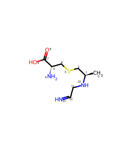 C[C@H](CSC[C@H](N)C(=O)O)NCC=N